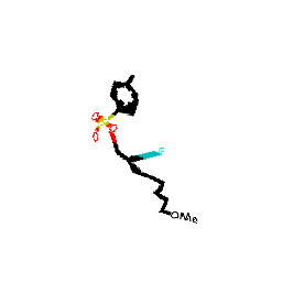 COCCCCCC(F)COS(=O)(=O)c1ccc(C)cc1